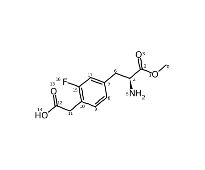 COC(=O)[C@@H](N)Cc1ccc(CC(=O)O)c(F)c1